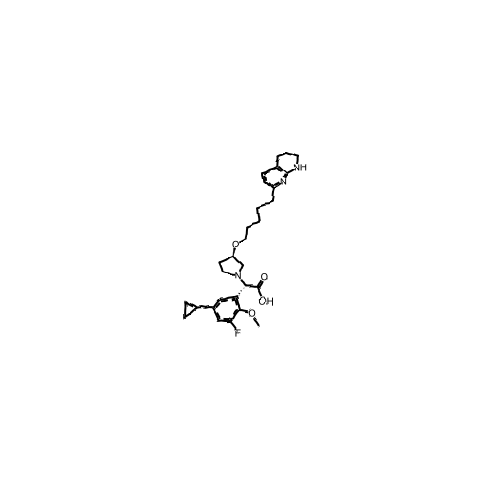 COc1c(F)cc(C2CC2)cc1[C@@H](C(=O)O)N1CC[C@@H](OCCCCCc2ccc3c(n2)NCCC3)C1